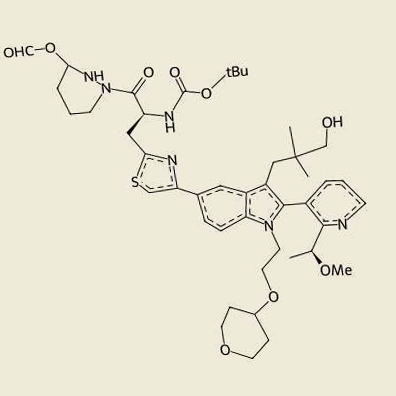 CO[C@@H](C)c1ncccc1-c1c(CC(C)(C)CO)c2cc(-c3csc(C[C@H](NC(=O)OC(C)(C)C)C(=O)N4CCCC(OC=O)N4)n3)ccc2n1CCOC1CCOCC1